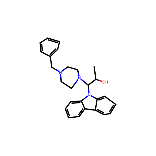 CC(O)C(N1CCN(Cc2ccccc2)CC1)n1c2ccccc2c2ccccc21